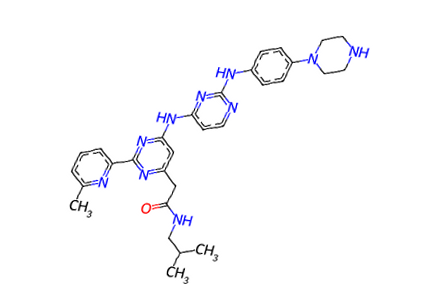 Cc1cccc(-c2nc(CC(=O)NCC(C)C)cc(Nc3ccnc(Nc4ccc(N5CCNCC5)cc4)n3)n2)n1